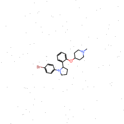 CN1CCC(Oc2ccccc2C2CCCN2c2ccc(Br)cc2)CC1